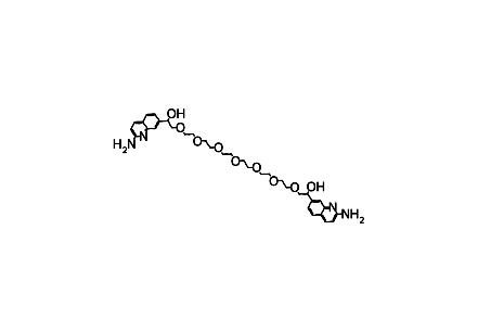 Nc1ccc2ccc(C(O)COCCOCCOCCOCCOCCOCCOCC(O)c3ccc4ccc(N)nc4c3)cc2n1